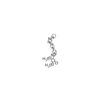 COc1cc(OC)c(-c2cn3ccc(N4CCN(c5cc(N6CCCCC6)ncn5)CC4)cc3n2)cc1Cl